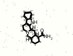 NC(=O)C1CCC[C@H]2CN3CCc4c([nH]c5ccccc45)[C@@H]3C[C@H]12